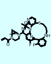 C=CC(=O)N1CCN(C2=NC(O)N3c4nc(c(F)cc42)-c2c(F)cccc2NCCCSc2ccnc(C(C)C)c23)C2C[C@H]21